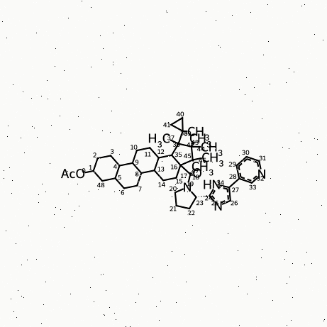 CC(=O)OC1CCC2C(CCC3C2CCC2C3CCC3(C(=O)N4CCC[C@H]4c4ncc(-c5cccnc5)[nH]4)C2C(C)(C2(C)CC2)C(C)(C)C3(C)C)C1